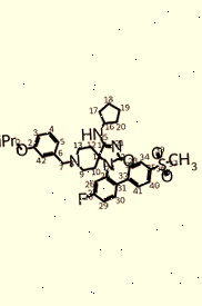 CC(C)Oc1cccc(CN2CCC3(CC2)C(NC2CCCC2)=NC(=O)N3c2cc(F)ccc2-c2ccc(S(C)(=O)=O)cc2)c1